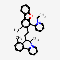 C=C[n+]1ccccc1-c1c(CCC2c3c(C)cccc3-c3cccc[n+]3C2C)c(C)cc2c1oc1ccccc12